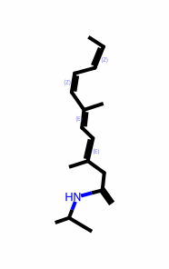 C=C(C/C(C)=C/C=C(C)/C=C\C=C/C)NC(C)C